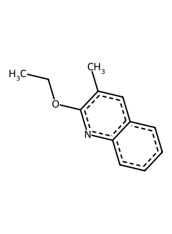 CCOc1nc2ccccc2cc1C